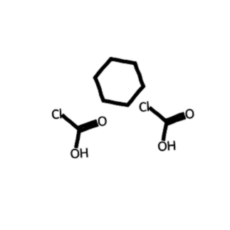 C1CCCCC1.O=C(O)Cl.O=C(O)Cl